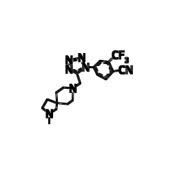 CN1CCC2(CCN(Cc3nnnn3-c3ccc(C#N)c(C(F)(F)F)c3)CC2)C1